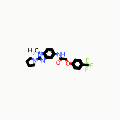 Cn1c(N2CCCC2)nc2cc(NC(=O)COc3ccc(C(F)(F)F)cc3)ccc21